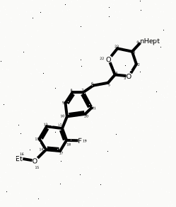 CCCCCCCC1COC(CCc2ccc(-c3ccc(OCC)cc3F)cc2)OC1